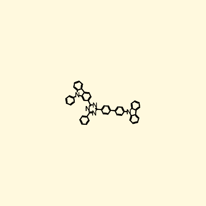 c1ccc(-c2nc(-c3ccc(-c4ccc(-n5c6ccccc6c6ccccc65)cc4)cc3)nc(-c3ccc4c5ccccc5n(-c5ccccc5)c4c3)n2)cc1